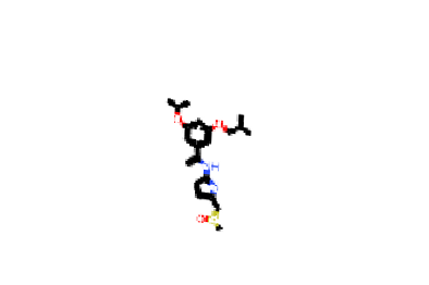 C=C(NC1=NC(C[S+](C)[O-])=CC1)c1cc(OCC(C)C)cc(OC(C)C)c1